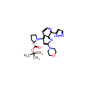 CC(C)(C)OC(=O)[C@@H]1CCCN1c1cc(N2CCOCC2)nc2c(-c3ccn[nH]3)nccc12